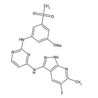 COc1cc(Nc2nccc(Nc3n[nH]c4nc(C)c(F)cc34)n2)cc(S(C)(=O)=O)c1